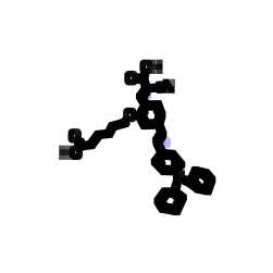 N#C/C(=C\c1ccc(/C=C/c2ccc(N(c3ccccc3)c3ccccc3)cc2)cc1OCCCCCC(=O)O)C(=O)O